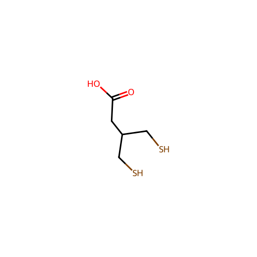 O=C(O)CC(CS)CS